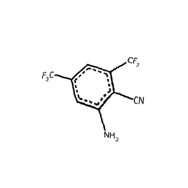 N#Cc1c(N)cc(C(F)(F)F)cc1C(F)(F)F